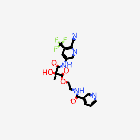 CC(O)(C(=O)Nc1cnc(C#N)c(C(F)(F)F)c1)C(=O)OCCNC(=O)c1cccnc1